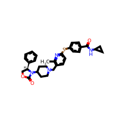 Cc1nc(Sc2ccc(C(=O)NC3CC3)cc2)ccc1CN1CCC(N2C(=O)OC[C@H]2c2ccccc2)CC1